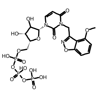 COc1cccc2onc(Cn3c(=O)ccn([C@@H]4O[C@H](COP(=O)(O)OP(=O)(O)OP(=O)(O)O)[C@H](O)C4O)c3=O)c12